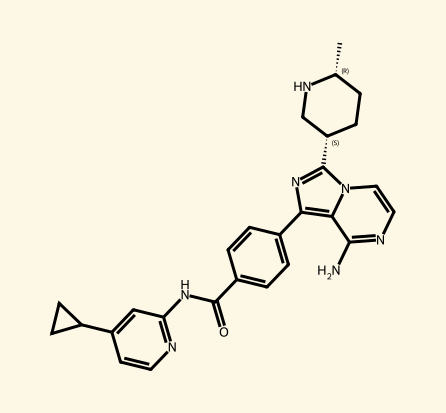 C[C@@H]1CC[C@H](c2nc(-c3ccc(C(=O)Nc4cc(C5CC5)ccn4)cc3)c3c(N)nccn23)CN1